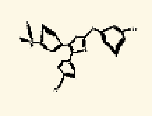 CS(=O)(=O)c1ccc(-c2sc(Sc3cccc(Br)c3)nc2-c2ccc(F)cc2)cc1